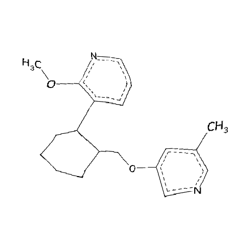 COc1ncccc1C1CCCCC1COc1cncc(C)c1